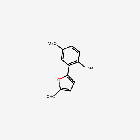 COc1ccc(OC)c(-c2ccc(C=O)o2)c1